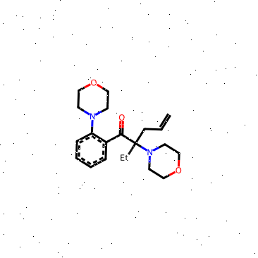 C=CCC(CC)(C(=O)c1ccccc1N1CCOCC1)N1CCOCC1